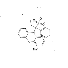 CCC(c1ccccn1)(N1c2ccccc2Sc2ccccc21)S(=O)(=O)[O-].[Na+]